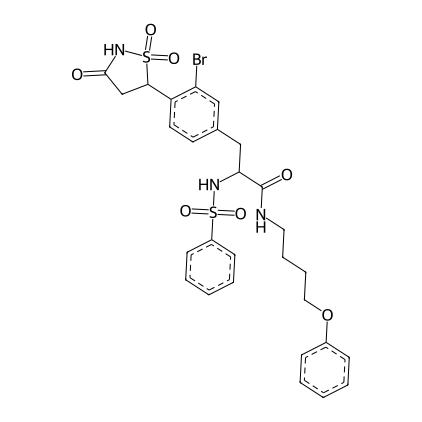 O=C1CC(c2ccc(CC(NS(=O)(=O)c3ccccc3)C(=O)NCCCCOc3ccccc3)cc2Br)S(=O)(=O)N1